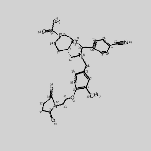 Cc1cc(CN(C[C@H]2CC[C@H](C(=O)O)CC2)C(C)c2ccc(C#N)cc2)ccc1OCCN1C(=O)CCC1=O